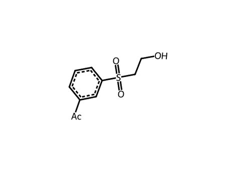 CC(=O)c1cccc(S(=O)(=O)CCO)c1